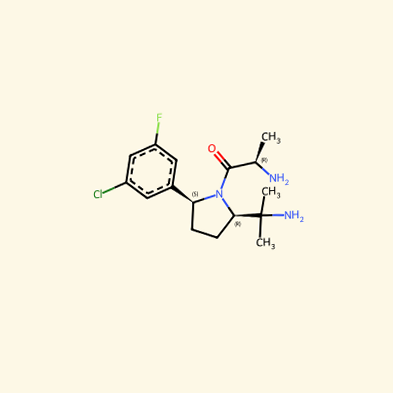 C[C@@H](N)C(=O)N1[C@H](c2cc(F)cc(Cl)c2)CC[C@@H]1C(C)(C)N